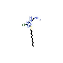 CCCCCCCCCCSc1nc(Cl)nc(NCCN)n1